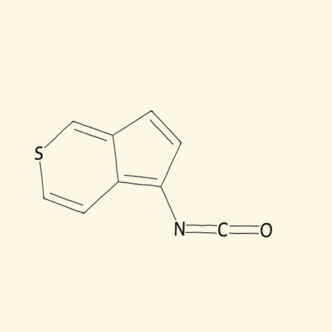 O=C=Nc1ccc2csccc1-2